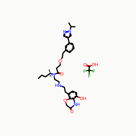 CCC[C@@H](C)N(CCNCCc1ccc(O)c2c1OCC(=O)N2)C(=O)CCOCCc1cccc(-c2cnn(C(C)C)c2)c1.O=C(O)C(F)(F)F